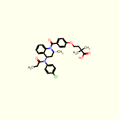 CCC(=O)N(c1ccc(Cl)cc1)[C@@H]1C[C@@H](C)N(C(=O)c2ccc(OCCC(C)(C)C(=O)O)cc2)c2ccccc21